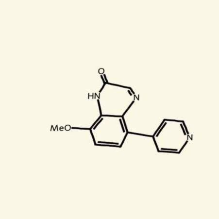 COc1ccc(-c2ccncc2)c2ncc(=O)[nH]c12